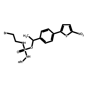 CCCNP(=O)(NCCBr)OC(C)c1ccc(-c2ccc([N+](=O)[O-])s2)cc1